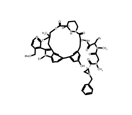 CCn1c(-c2cnccc2COC)c2c3cc(ccc31)-c1cc(O)cc(c1)C[C@H](NC(=O)C(C(C)C)N(C)C(=O)CN(C)C(=O)[C@H]1CN1Cc1ccccc1)C(=O)N1CCC[C@H](N1)C(=O)OCC(C)(C)C2